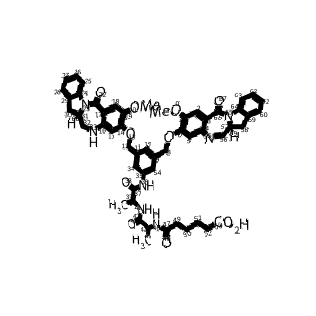 COc1cc2c(cc1OCc1cc(COc3cc4c(cc3OC)C(=O)N3c5ccccc5C[C@H]3CN4)cc(NC(=O)C(C)NC(=O)C(C)NC(=O)CCCCC(=O)O)c1)N=C[C@H]1Cc3ccccc3N1C2=O